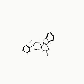 CN(C)C1(c2ccccc2)CCC2(CC1)NC(CO)Cc1c2[nH]c2ccccc12